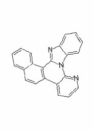 c1ccc2c(c1)ccc1c3cccnc3n3c4ccccc4nc3c21